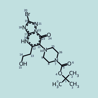 CC(C)(C)OC(=O)N1CCN(c2c(CCO)[nH]c3nc(Br)nn3c2=O)CC1